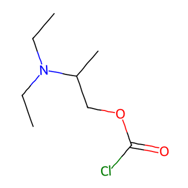 CCN(CC)C(C)COC(=O)Cl